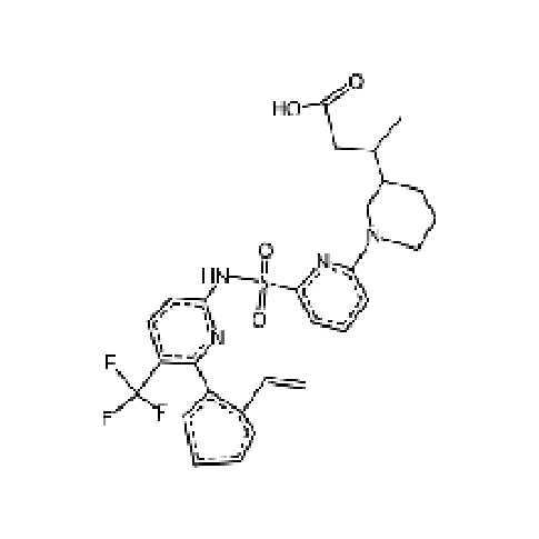 C=Cc1ccccc1-c1nc(NS(=O)(=O)c2cccc(N3CCCC(C(C)CC(=O)O)C3)n2)ccc1C(F)(F)F